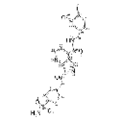 NS(=O)(=O)c1ccc(CNc2n[nH]c3c(C(=O)NCc4ccc(F)c(Cl)c4)ncnc23)cc1